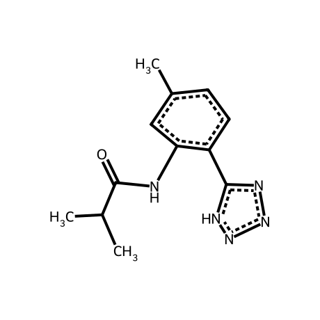 Cc1ccc(-c2nnn[nH]2)c(NC(=O)C(C)C)c1